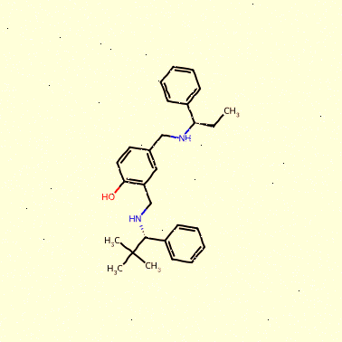 CC[C@@H](NCc1ccc(O)c(CN[C@H](c2ccccc2)C(C)(C)C)c1)c1ccccc1